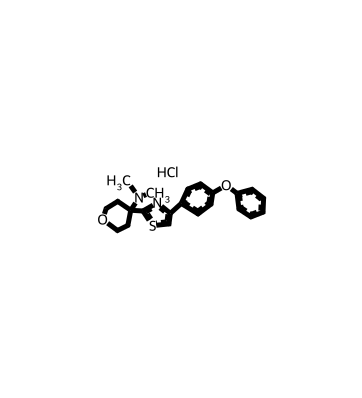 CN(C)C1(c2nc(-c3ccc(Oc4ccccc4)cc3)cs2)CCOCC1.Cl